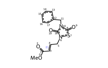 COC(=O)/C=C/Cn1sc(=O)n(Cc2ccccc2)c1=O